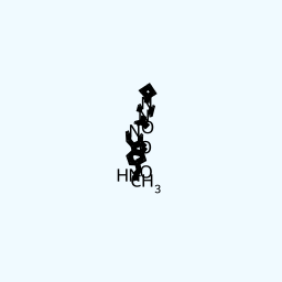 CNC(=O)c1ccc2c3c(oc2c1)CN(CC(=O)N1CCN(C2CCC2)CC1)CC3